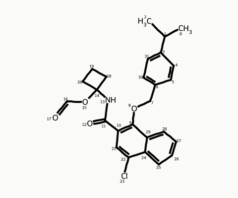 CC(C)c1ccc(COc2c(C(=O)NC3(OC=O)CCC3)cc(Cl)c3ccccc23)cc1